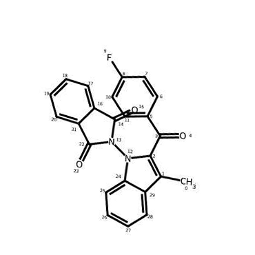 Cc1c(C(=O)c2ccc(F)cc2)n(N2C(=O)c3ccccc3C2=O)c2ccccc12